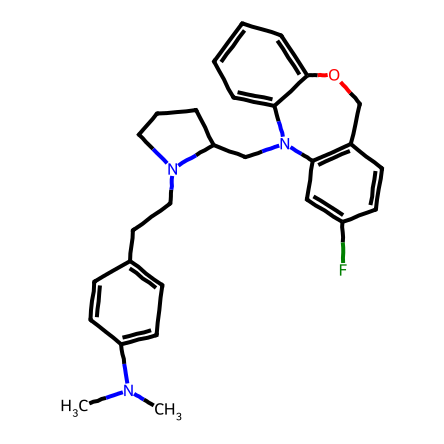 CN(C)c1ccc(CCN2CCCC2CN2c3cc(F)ccc3COc3ccccc32)cc1